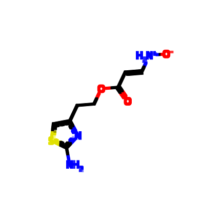 Nc1nc(CCOC(=O)C=C[NH2+][O-])cs1